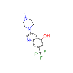 CN1CCN(c2cnc3cc(C(F)(F)F)cc(O)c3c2)CC1